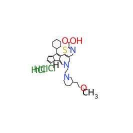 COCCC1CCCN(CCN2C=C3C(=C(C4CCCCC4)C4=CC=C(Cl)[C@H]34)C3=C(CN=C(C(=O)O)S3)C2)C1.Cl.Cl